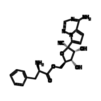 N#C[C@@]1(c2ccc3c(N)ncnn23)O[C@H](COC(=O)[C@H](N)Cc2ccccc2)[C@@H](O)[C@H]1O